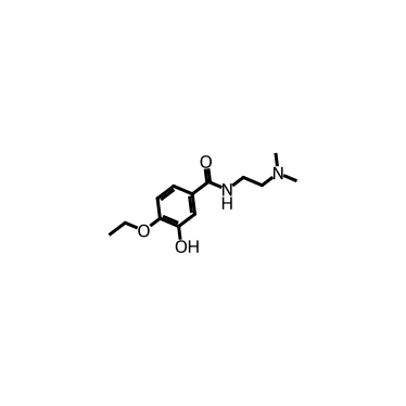 CCOc1ccc(C(=O)NCCN(C)C)cc1O